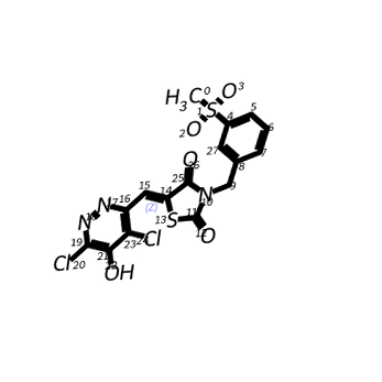 CS(=O)(=O)c1cccc(CN2C(=O)S/C(=C\c3nnc(Cl)c(O)c3Cl)C2=O)c1